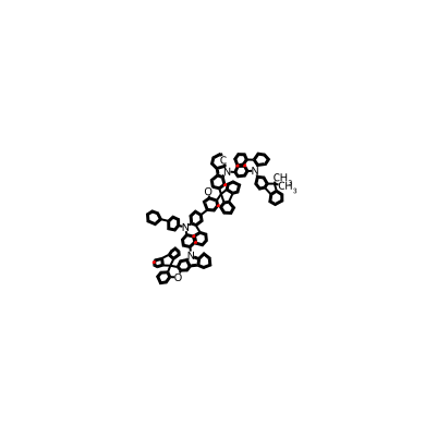 CC1(C)c2ccccc2-c2ccc(N(c3ccc(-n4c5ccccc5c5cc6c(cc54)C4(c5ccc(-c7ccc(N(c8ccc(-c9ccccc9)cc8)c8ccc(-n9c%10ccccc%10c%10cc%11c(cc%109)C9(c%10ccccc%10O%11)c%10ccccc%10-c%10ccccc%109)cc8)c(-c8ccccc8)c7)cc5O6)c5ccccc5-c5ccccc54)cc3)c3ccccc3-c3ccccc3)cc21